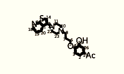 CC(=O)c1ccc(OCCCN2CCN(c3csc4ncccc34)CC2)c(O)c1